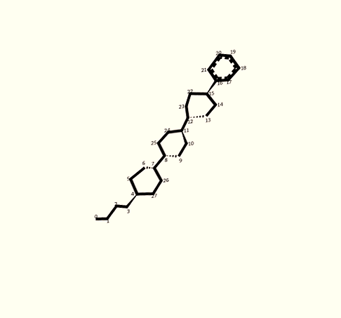 CCCC[C@H]1CC[C@H]([C@H]2CC[C@H]([C@H]3CC[C@H](c4ccccc4)CC3)CC2)CC1